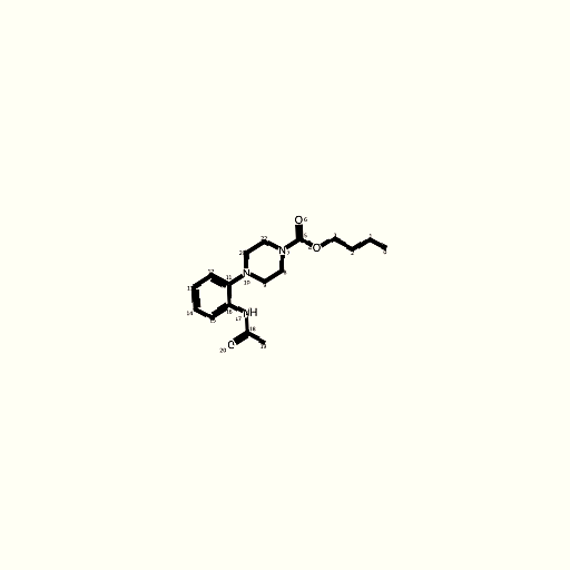 CCCCOC(=O)N1CCN(c2ccccc2NC(C)=O)CC1